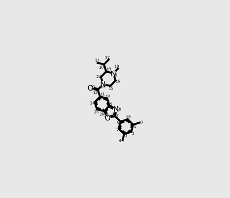 Cc1cc(C)cc(-c2nc3cc(C(=O)N4CCN(C)C(C(C)C)C4)ccc3o2)c1